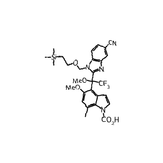 COc1cc(C)c2c(ccn2C(=O)O)c1C(OC)(c1nc2cc(C#N)ccc2n1COCC[Si](C)(C)C)C(F)(F)F